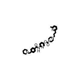 Cc1cccc(CCCN2CCN(C(=O)Oc3ccc(NC(=O)c4ccc(CN5CCCCC5)cc4)nc3)CC2)n1